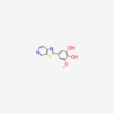 COc1cc(-c2nc3ccncc3s2)cc(O)c1O